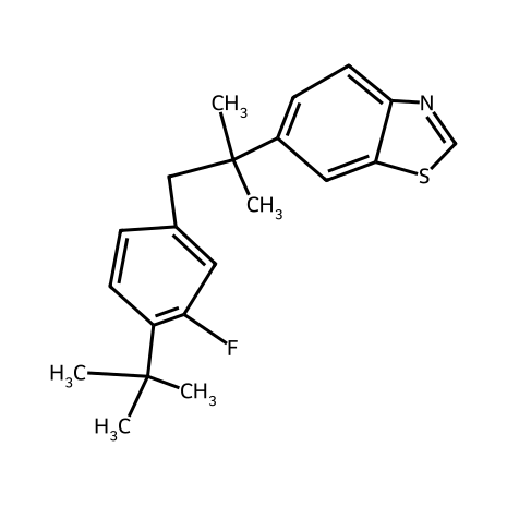 CC(C)(C)c1ccc(CC(C)(C)c2ccc3ncsc3c2)cc1F